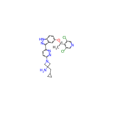 C[C@@H](Oc1ccc2[nH]nc(-c3ccc(N4CC(N)(CC5CC5)C4)nn3)c2c1)c1c(Cl)cncc1Cl